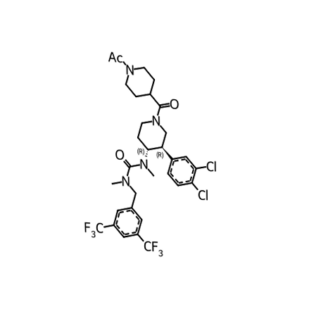 CC(=O)N1CCC(C(=O)N2CC[C@@H](N(C)C(=O)N(C)Cc3cc(C(F)(F)F)cc(C(F)(F)F)c3)[C@H](c3ccc(Cl)c(Cl)c3)C2)CC1